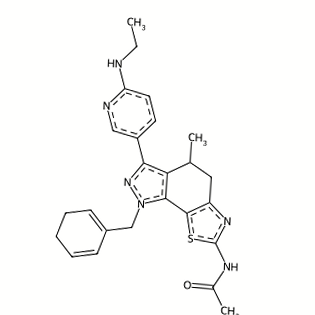 CCNc1ccc(-c2nn(CC3=CCCC=C3)c3c2C(C)Cc2nc(NC(C)=O)sc2-3)cn1